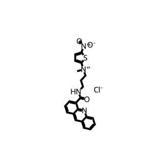 C[N+](C)(CCCNC(=O)c1cccc2cc3ccccc3nc12)c1ccc([N+](=O)[O-])s1.[Cl-]